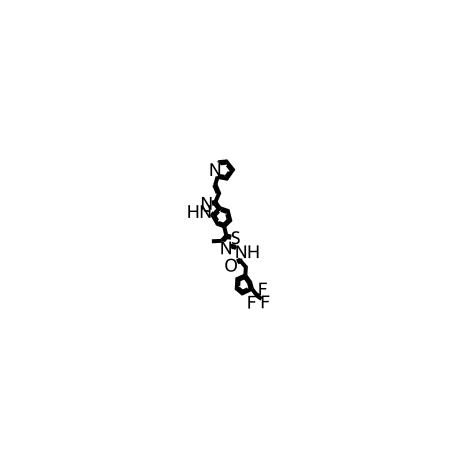 Cc1nc(NC(=O)Cc2cccc(C(F)(F)F)c2)sc1-c1ccc2c(C=Cc3ccccn3)n[nH]c2c1